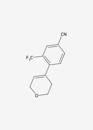 N#Cc1ccc(C2=CCOCC2)c(C(F)(F)F)c1